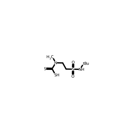 CN(CCS(=O)(=O)NC(C)(C)C)C(=S)S